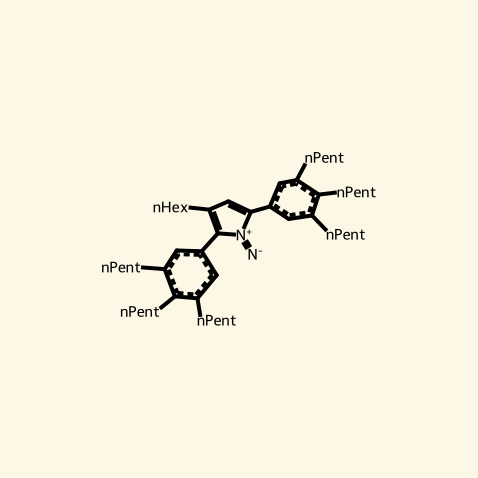 CCCCCCC1=C(c2cc(CCCCC)c(CCCCC)c(CCCCC)c2)[N+](=[N-])C(c2cc(CCCCC)c(CCCCC)c(CCCCC)c2)=C1